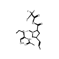 CC=CC1CC(C(=O)OC(=O)C(F)(F)F)N(C[C@@H](CC)C(=CO)NC(C)=O)C1